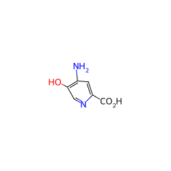 Nc1cc(C(=O)O)ncc1O